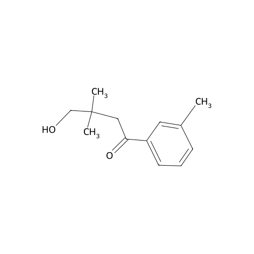 Cc1cccc(C(=O)CC(C)(C)CO)c1